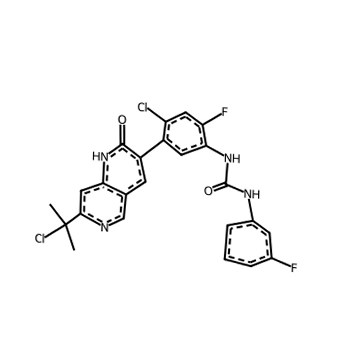 CC(C)(Cl)c1cc2[nH]c(=O)c(-c3cc(NC(=O)Nc4cccc(F)c4)c(F)cc3Cl)cc2cn1